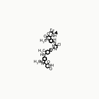 C[C@@H]1CC2(CC[C@H]1Nc1ccc3c(C4CCC(=O)NC4=O)nn(C)c3c1)CN(c1ncc(Cl)c(Nc3ccc4c(c3)c3c(c(=O)n4C)OCC(F)(F)[C@H](C4CC4)N3)n1)C2